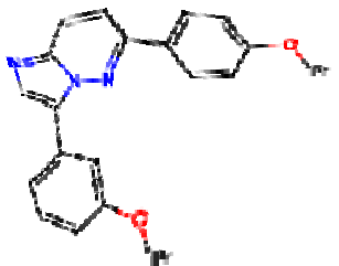 CC(C)Oc1ccc(-c2ccc3ncc(-c4cccc(OC(C)C)c4)n3n2)cc1